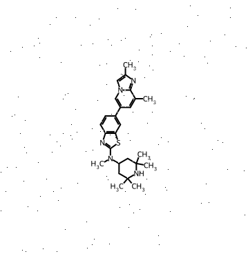 Cc1cn2cc(-c3ccc4nc(N(C)C5CC(C)(C)NC(C)(C)C5)sc4c3)cc(C)c2n1